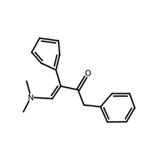 CN(C)C=C(C(=O)Cc1ccccc1)c1ccccc1